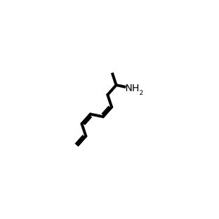 C=C/C=C\C=C/CC(C)N